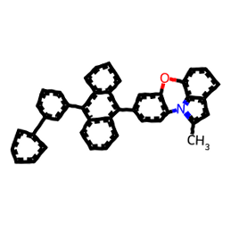 Cc1cc2cccc3c2n1-c1ccc(-c2c4ccccc4c(-c4cccc(-c5ccccc5)c4)c4ccccc24)cc1O3